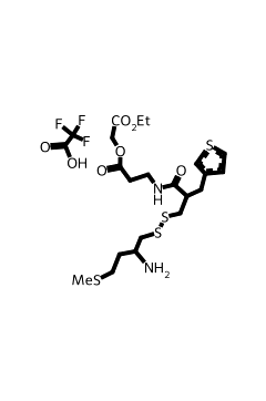 CCOC(=O)COC(=O)CCNC(=O)C(CSSCC(N)CCSC)Cc1ccsc1.O=C(O)C(F)(F)F